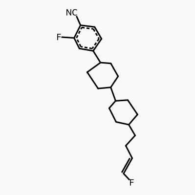 N#Cc1ccc(C2CCC(C3CCC(CCC=CF)CC3)CC2)cc1F